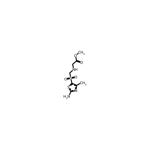 COC(=O)CNCS(=O)(=O)c1sc(N)nc1C